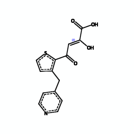 O=C(O)/C(O)=C/C(=O)c1sccc1Cc1ccncc1